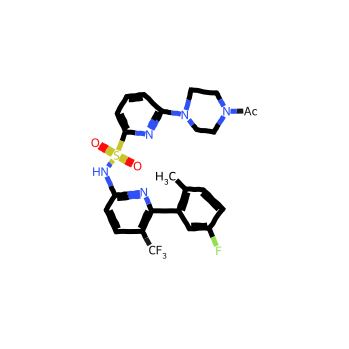 CC(=O)N1CCN(c2cccc(S(=O)(=O)Nc3ccc(C(F)(F)F)c(-c4cc(F)ccc4C)n3)n2)CC1